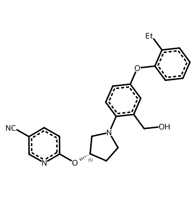 CCc1ccccc1Oc1ccc(N2CC[C@H](Oc3ccc(C#N)cn3)C2)c(CO)c1